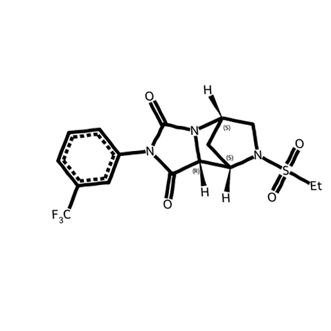 CCS(=O)(=O)N1C[C@@H]2C[C@H]1[C@@H]1C(=O)N(c3cccc(C(F)(F)F)c3)C(=O)N21